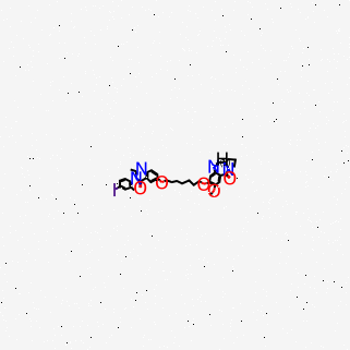 COc1cc2c(cc1OCCCCCCCOc1ccc3nc(C)n(-c4ccc(I)cc4C)c(=O)c3c1)N=C[C@@H]1CCCN1C2=O